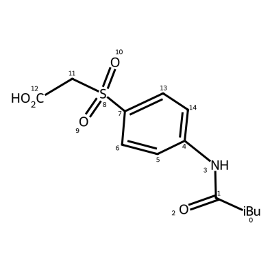 CCC(C)C(=O)Nc1ccc(S(=O)(=O)CC(=O)O)cc1